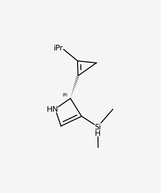 CC(C)C1=C([C@H]2NC=C2[SiH](C)C)C1